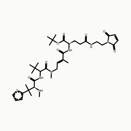 CN[C@H](C(=O)NC(C(=O)N(C)C/C=C(\C)C(=O)N[C@H](CCC(=O)NCCN1C(=O)C=CC1=O)C(=O)OC(C)(C)C)C(C)(C)C)C(C)(C)c1cccs1